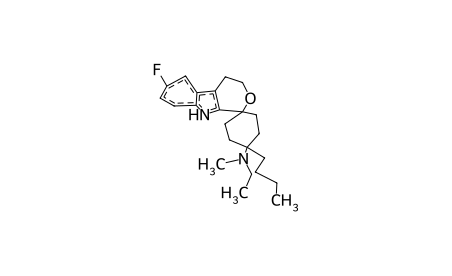 CCCCC1(N(C)CC)CCC2(CC1)OCCc1c2[nH]c2ccc(F)cc12